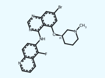 CN1CCC[C@@H](Oc2cc(Br)cc3ncnc(Nc4ccc5ncccc5c4F)c23)C1